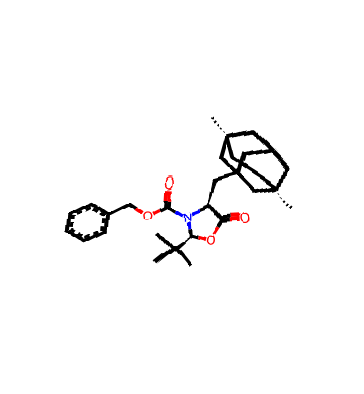 CC(C)(C)[C@@H]1OC(=O)[C@H](CC23CC4C[C@@](C)(C2)C[C@](C)(C4)C3)N1C(=O)OCc1ccccc1